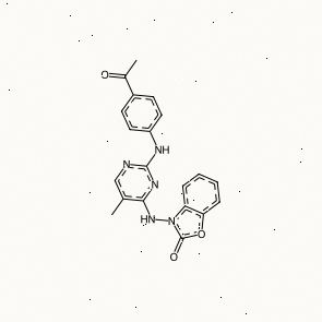 CC(=O)c1ccc(Nc2ncc(C)c(Nn3c(=O)oc4ccccc43)n2)cc1